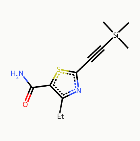 CCc1nc(C#C[Si](C)(C)C)sc1C(N)=O